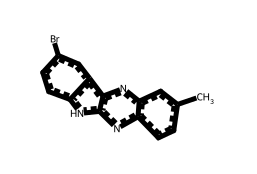 Cc1ccc2nc3[nH]c4ccc(Br)cc4c3nc2c1